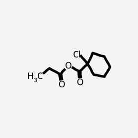 CCC(=O)OC(=O)C1(Cl)CCCCC1